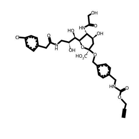 C#CCOC(=O)NCc1ccc(CO[C@]2(C(=O)O)C[C@H](O)[C@@H](NC(=O)CO)[C@H]([C@H](O)[C@H](O)CNC(=O)Cc3ccc(Cl)cc3)O2)cc1